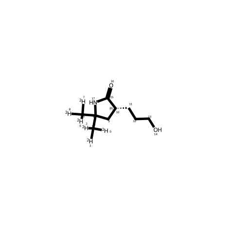 [2H]C([2H])([2H])C1(C([2H])([2H])[2H])C[C@@H](CCCO)C(=O)N1